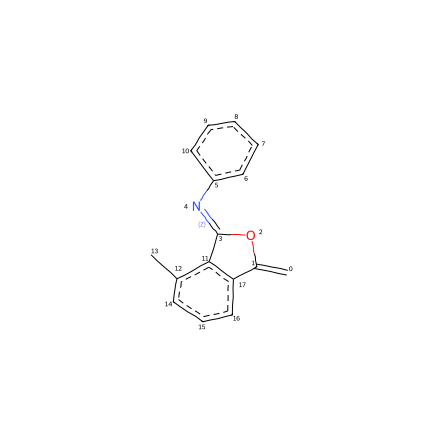 C=C1O/C(=N\c2ccccc2)c2c(C)cccc21